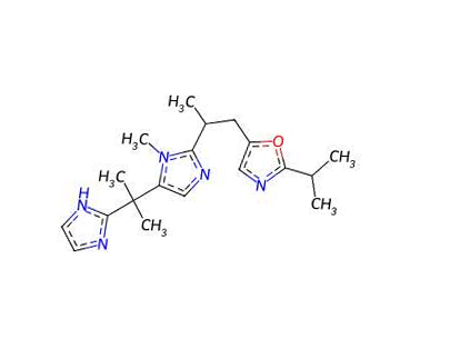 CC(C)c1ncc(CC(C)c2ncc(C(C)(C)c3ncc[nH]3)n2C)o1